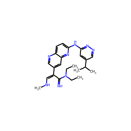 CCN(CC)C(=N)/C(=C\NC)c1cnc2ccc(Nc3cc(C(C)C)cnn3)nc2c1